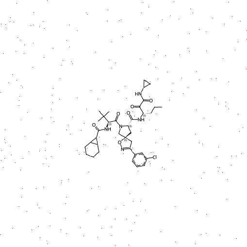 CCC[C@H](NC(=O)[C@@H]1C[C@]2(CC(c3cccc(Cl)c3)=NO2)CN1C(=O)[C@@H](NC(=O)C1C2CCCCC21)C(C)(C)C)C(=O)C(=O)NC1CC1